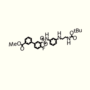 COC(=O)c1cccc(-c2ccc(F)c(S(=O)(=O)Nc3cccc(NCCNC(=O)OC(C)(C)C)c3)c2)c1